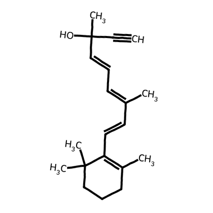 C#CC(C)(O)C=CC=C(C)C=CC1=C(C)CCCC1(C)C